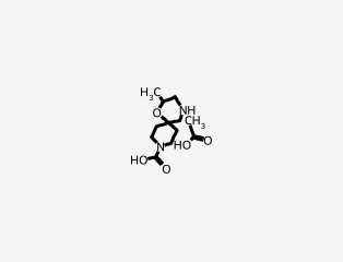 CC(=O)O.CC1CNCC2(CCN(C(=O)O)CC2)O1